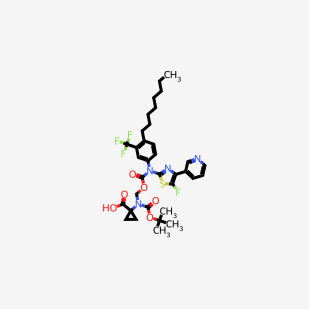 CCCCCCCCc1ccc(N(C(=O)OCN(C(=O)OC(C)(C)C)C2(C(=O)O)CC2)c2nc(-c3cccnc3)c(F)s2)cc1C(F)(F)F